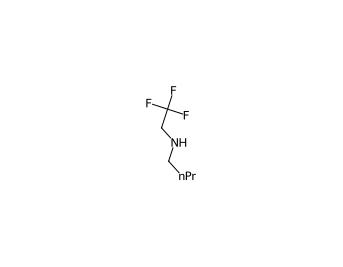 [CH2]CCCNCC(F)(F)F